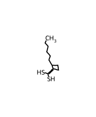 CCCCCCC1CCC1=C(S)S